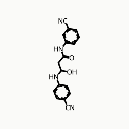 N#Cc1ccc(NC(O)CC(=O)Nc2cccc(C#N)c2)cc1